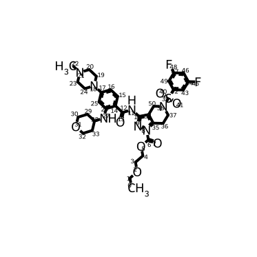 CCOCCOC(=O)n1nc(NC(=O)c2ccc(N3CCN(C)CC3)cc2NC2CCOCC2)c2c1CCN(S(=O)(=O)c1cc(F)cc(F)c1)C2